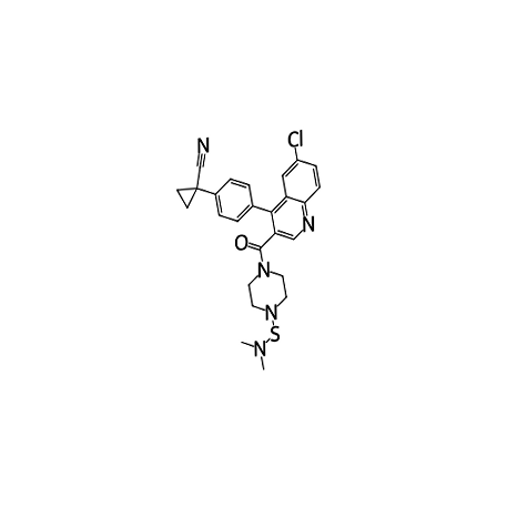 CN(C)SN1CCN(C(=O)c2cnc3ccc(Cl)cc3c2-c2ccc(C3(C#N)CC3)cc2)CC1